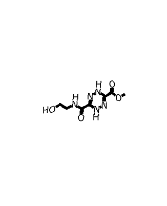 COC(=O)C1=NNC(C(=O)NCCO)=NN1